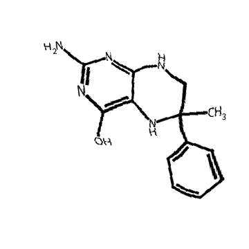 CC1(c2ccccc2)CNc2nc(N)nc(O)c2N1